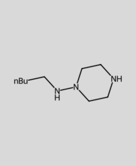 CCCCCNN1CCNCC1